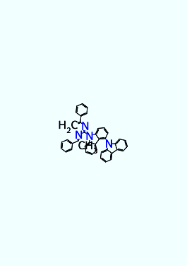 C=C(/N=C(\N=C(/C)c1ccccc1)n1c2ccccc2c2c(-n3c4ccccc4c4ccccc43)cccc21)c1ccccc1